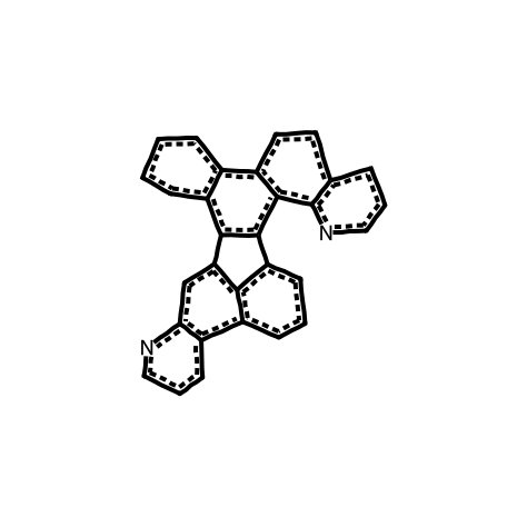 c1cnc2c(c1)ccc1c3ccccc3c3c(c12)-c1cccc2c1c-3cc1ncccc12